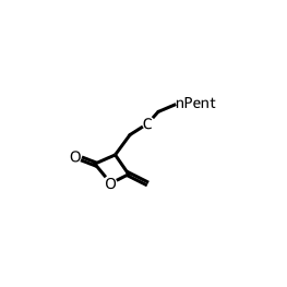 C=C1OC(=O)C1CCCCCCCC